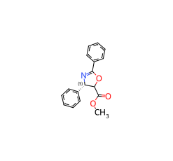 COC(=O)C1OC(c2ccccc2)=N[C@H]1c1ccccc1